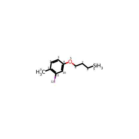 Cc1ccc(OCCC[SiH3])cc1I